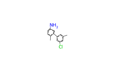 Cc1cc(Cl)cc(-c2cc(N)ccc2C)c1